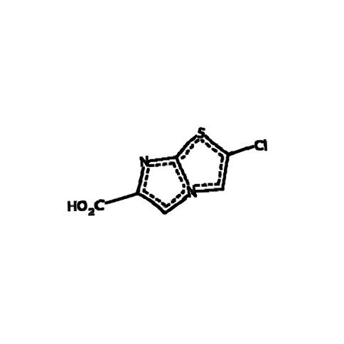 O=C(O)c1cn2cc(Cl)sc2n1